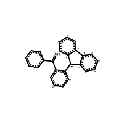 N=C(c1ccccc1)c1ccccc1C1c2ccccc2-c2ccccc21